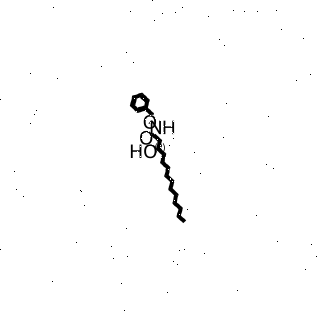 CCCCCCCCCCC[C@@H](O)CC(=O)NOCc1ccccc1